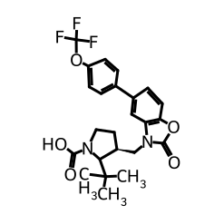 CC(C)(C)C1[C@H](Cn2c(=O)oc3ccc(-c4ccc(OC(F)(F)F)cc4)cc32)CCN1C(=O)O